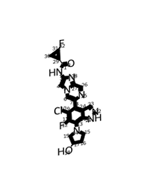 O=C(Nc1cn2cc(-c3c(Cl)c(F)c(N4CC[C@H](O)C4)c4[nH]ncc34)ncc2n1)[C@@H]1C[C@@H]1F